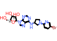 OC[C@H]1O[C@@H](n2cnc3c(N[C@H]4CCN(c5ccc(Br)cn5)C4)ncnc32)[C@@H](O)[C@H]1O